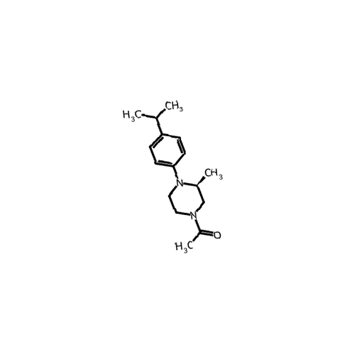 CC(=O)N1CCN(c2ccc(C(C)C)cc2)[C@@H](C)C1